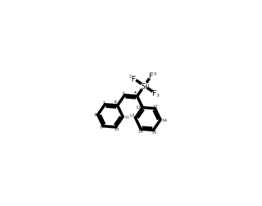 F[Si](F)(F)/C(=C/c1ccccc1)c1ccccc1